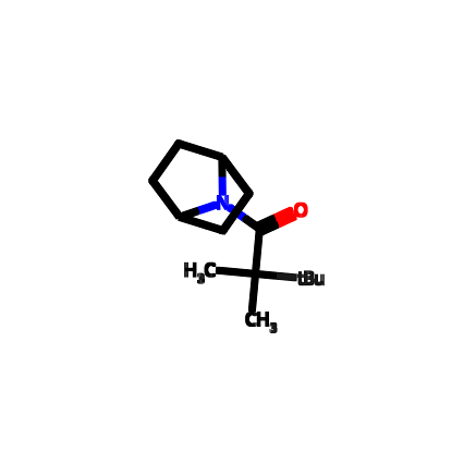 CC(C)(C)C(C)(C)C(=O)N1C2CCC1CC2